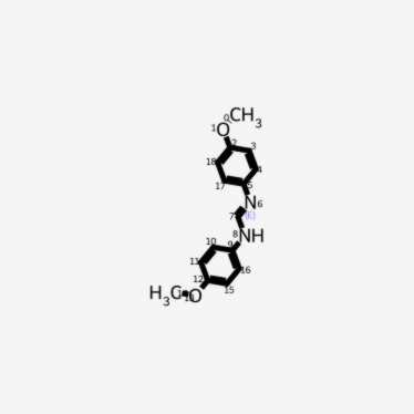 COc1ccc(/N=C/Nc2ccc(OC)cc2)cc1